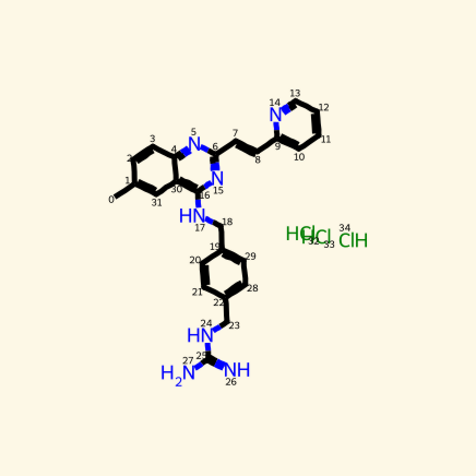 Cc1ccc2nc(/C=C/c3ccccn3)nc(NCc3ccc(CNC(=N)N)cc3)c2c1.Cl.Cl.Cl